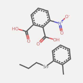 CC[CH2][Sn][c]1ccccc1C.O=C(O)c1cccc([N+](=O)[O-])c1C(=O)O